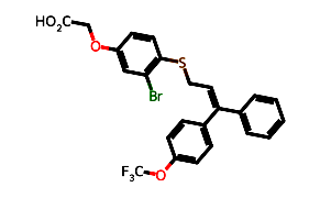 O=C(O)COc1ccc(SC/C=C(/c2ccccc2)c2ccc(OC(F)(F)F)cc2)c(Br)c1